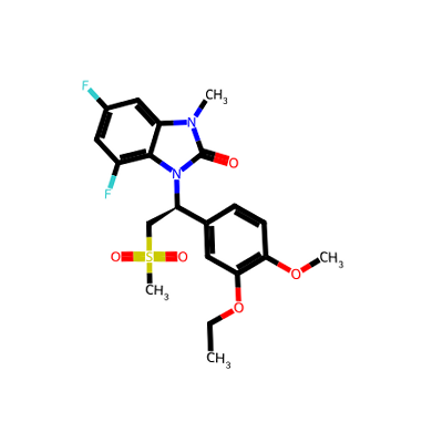 CCOc1cc([C@@H](CS(C)(=O)=O)n2c(=O)n(C)c3cc(F)cc(F)c32)ccc1OC